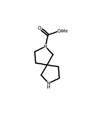 COC(=O)N1CCC2(CCNC2)C1